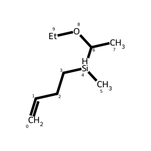 C=CCC[SiH](C)C(C)OCC